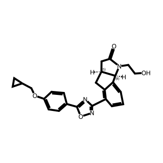 O=C1C[C@@H]2Cc3c(-c4noc(-c5ccc(OCC6CC6)cc5)n4)cccc3[C@@H]2N1CCO